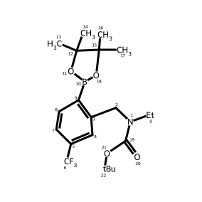 CCN(Cc1cc(C(F)(F)F)ccc1B1OC(C)(C)C(C)(C)O1)C(=O)OC(C)(C)C